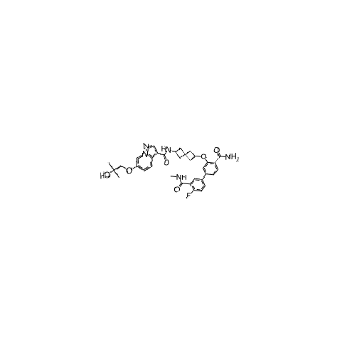 CNC(=O)c1cc(-c2ccc(C(N)=O)c(OC3CC4(CC(NC(=O)c5cnn6cc(OCC(C)(C)O)ccc56)C4)C3)c2)ccc1F